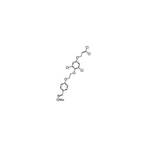 CON=Cc1ccc(OCCOc2c(Cl)cc(OCC=C(Cl)Cl)cc2Cl)cc1